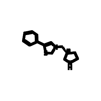 C1=C(c2ccccc2)SCN1C[C@@H]1CCNC1